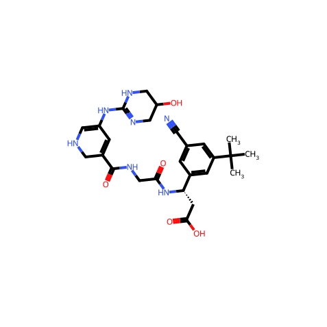 CC(C)(C)c1cc(C#N)cc([C@H](CC(=O)O)NC(=O)CNC(=O)C2=CC(NC3=NCC(O)CN3)=CNC2)c1